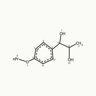 CCCOc1ccc(C(O)C(C)O)cc1